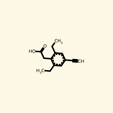 C#Cc1cc(CC)c(CC(=O)O)c(CC)c1